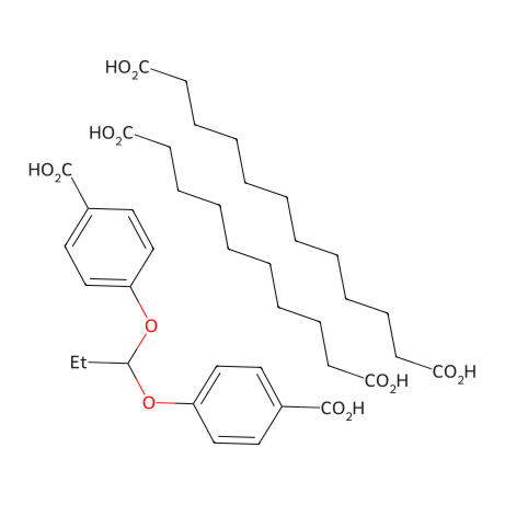 CCC(Oc1ccc(C(=O)O)cc1)Oc1ccc(C(=O)O)cc1.O=C(O)CCCCCCCCC(=O)O.O=C(O)CCCCCCCCCCC(=O)O